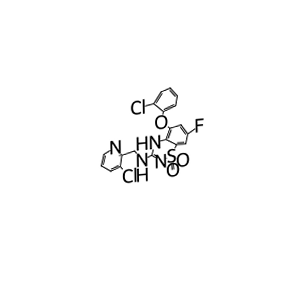 O=S1(=O)N=C(NCc2ncccc2Cl)Nc2c(Oc3ccccc3Cl)cc(F)cc21